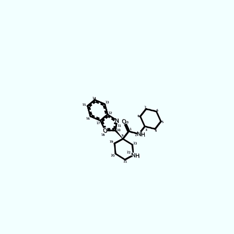 O=C(NC1CCCCC1)[C@@]1(c2nc3ccccc3o2)CCCNC1